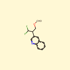 O=COCC(c1cnc2ccccc2c1)C(F)F